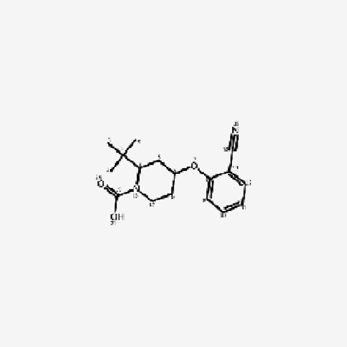 CC(C)(C)C1CC(Oc2ccccc2C#N)CCN1C(=O)O